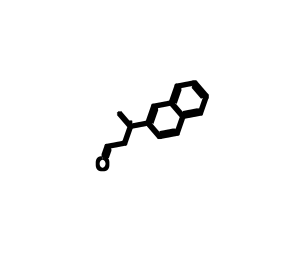 C[C](CC=O)c1ccc2ccccc2c1